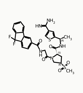 C[C@@H](NC(=O)[C@@H]1C[C@@H](S(C)(=O)=O)CN1C(=O)CNC(=O)c1ccc2c(c1)-c1ccccc1C2(F)F)c1cc(C(=N)N)cs1